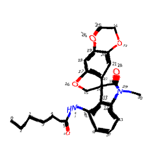 CCCCCC(=O)Nc1cccc2c1C1(COc3cc4c(cc31)OCCO4)C(=O)N2C